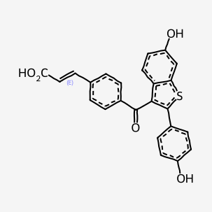 O=C(O)/C=C/c1ccc(C(=O)c2c(-c3ccc(O)cc3)sc3cc(O)ccc23)cc1